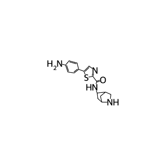 Nc1ccc(-c2cnc(C(=O)NC3CC4CC3CN4)s2)cc1